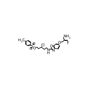 Cc1ccc(S(=O)(=O)OCC[C@@H](Cl)CCNc2nc3ccc(OC/C(=C\F)CN)cc3o2)cc1